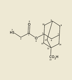 O=C(CS)OC12CC3CC(C1)CC(C(=O)O)(C3)C2